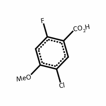 COc1cc(F)c(C(=O)O)cc1Cl